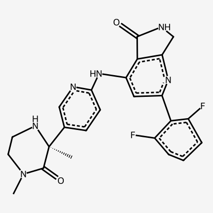 CN1CCN[C@@](C)(c2ccc(Nc3cc(-c4c(F)cccc4F)nc4c3C(=O)NC4)nc2)C1=O